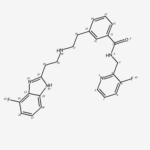 O=C(NCc1ncccc1F)c1cccc(CCNCCc2nc3c(F)cccc3[nH]2)c1